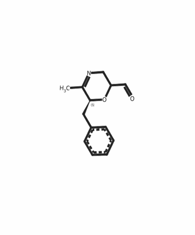 CC1=NCC(C=O)O[C@H]1Cc1ccccc1